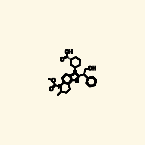 COC(=O)N1c2ccc3c(nc([C@@H](CO)c4ccccc4)n3[C@@H]3CCC[C@@H](C(=O)O)C3)c2CCC1C